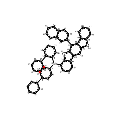 c1ccc(-c2ccc(N(c3ccccc3-c3ccccc3)c3cccc4c3oc3c(-c5ccc6ccccc6c5)c5c(cc34)oc3ccccc35)cc2)cc1